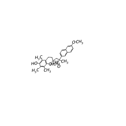 COc1ccc2cc(C(C)(CC3(C)CCc4c(C)c(O)c(C)c(C)c4O3)C(=O)O)ccc2c1